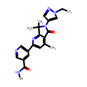 Cc1cc(-c2cncc(C(=O)NC(C)C)c2)nc2c1C(=O)N(c1cnn(CC(F)(F)F)c1)C2(C)C